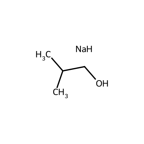 CC(C)CO.[NaH]